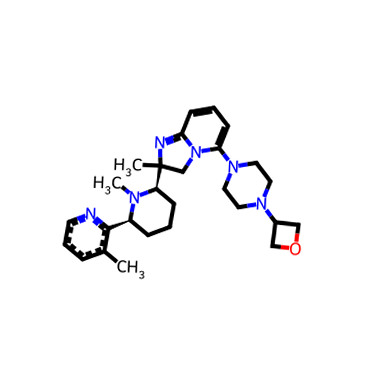 Cc1cccnc1[C@@H]1CCC[C@H](C2(C)CN3C(N4CCN(C5COC5)CC4)=CC=CC3=N2)N1C